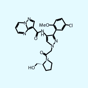 COc1ccc(Cl)cc1-c1nn(CC(=O)N2CCC[C@@H]2CO)cc1NC(=O)c1cnn2cccnc12